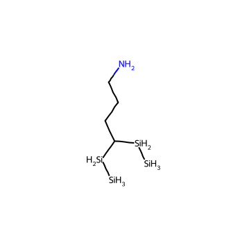 NCCCC([SiH2][SiH3])[SiH2][SiH3]